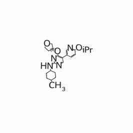 CC1CCC(Nc2ncc(-c3ccc(OC(C)C)nc3)c(O[C@@H]3CCOC3)n2)CC1